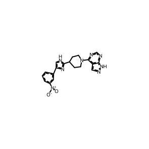 O=[N+]([O-])c1cccc(-c2c[nH]c(C3CCN(c4ncnc5[nH]ncc45)CC3)n2)c1